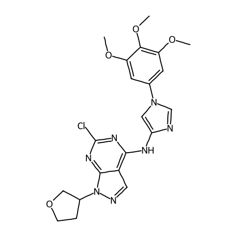 COc1cc(-n2cnc(Nc3nc(Cl)nc4c3cnn4C3CCOC3)c2)cc(OC)c1OC